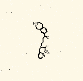 O=C(CCCN(Cc1cccnc1)C(=O)C(F)(F)F)c1ccc2c(c1)CCNCC2